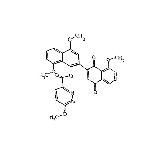 COc1ccc(C(=O)Oc2c(C3=CC(=O)c4cccc(OC)c4C3=O)cc(OC)c3cccc(OC)c23)nn1